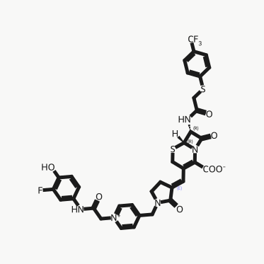 O=C(C[n+]1ccc(CN2CC/C(=C\C3=C(C(=O)[O-])N4C(=O)[C@@H](NC(=O)CSc5ccc(C(F)(F)F)cc5)[C@H]4SC3)C2=O)cc1)Nc1ccc(O)c(F)c1